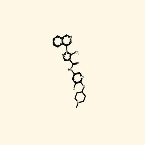 CN1CCC(Oc2ncc(NC(=O)c3cnn(-c4cncc5ccccc45)c3C(F)(F)F)cc2Cl)CC1